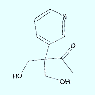 CC(=O)C(CO)(CO)c1cccnc1